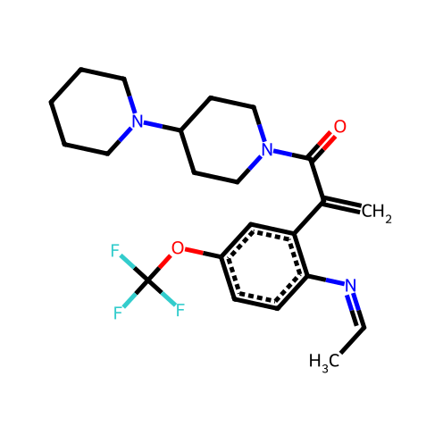 C=C(C(=O)N1CCC(N2CCCCC2)CC1)c1cc(OC(F)(F)F)ccc1/N=C\C